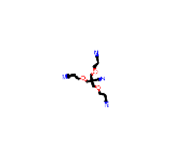 N#CCCOCC(C#N)(COCCC#N)COCCC#N